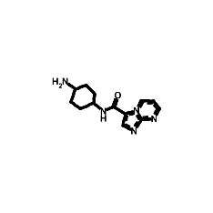 NC1CCC(NC(=O)c2cnc3ncccn23)CC1